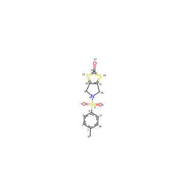 Cc1ccc(S(=O)(=O)N2Cc3sc(=O)sc3C2)cc1